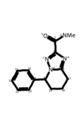 CNC(=O)c1nc2n(n1)C(c1ccccc1)CCC2